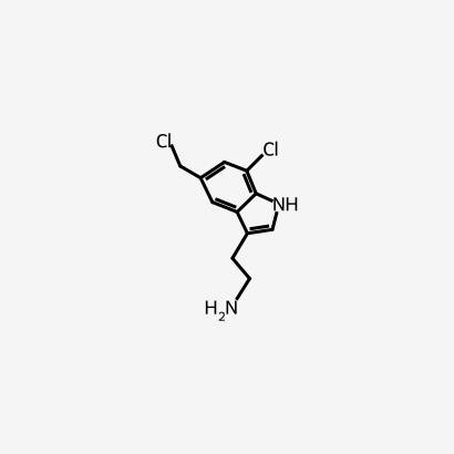 NCCc1c[nH]c2c(Cl)cc(CCl)cc12